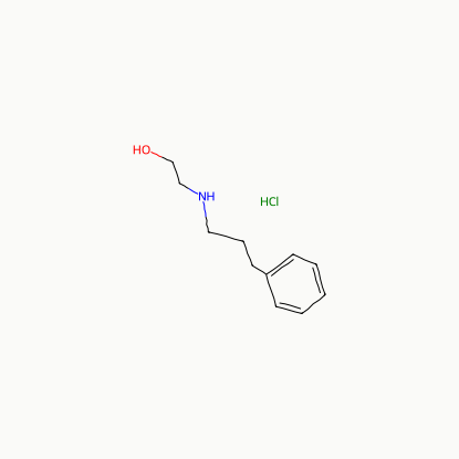 Cl.OCCNCCCc1ccccc1